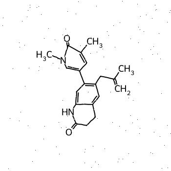 C=C(C)Cc1cc2c(cc1-c1cc(C)c(=O)n(C)c1)NC(=O)CC2